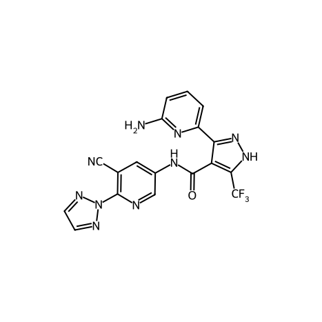 N#Cc1cc(NC(=O)c2c(-c3cccc(N)n3)n[nH]c2C(F)(F)F)cnc1-n1nccn1